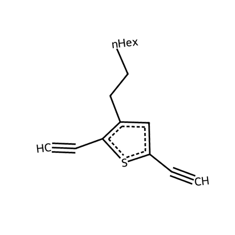 C#Cc1cc(CCCCCCCC)c(C#C)s1